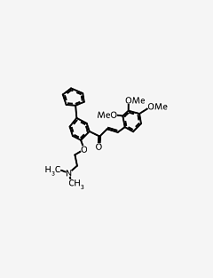 COc1ccc(C=CC(=O)c2cc(-c3ccccc3)ccc2OCCN(C)C)c(OC)c1OC